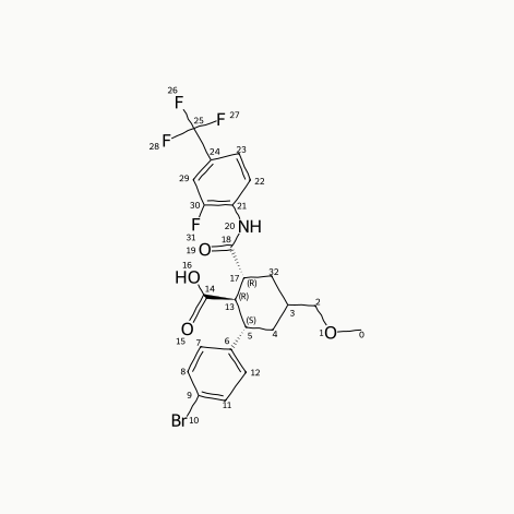 COCC1C[C@H](c2ccc(Br)cc2)[C@@H](C(=O)O)[C@H](C(=O)Nc2ccc(C(F)(F)F)cc2F)C1